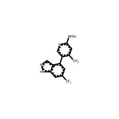 CC(=O)Nc1cc(C)c(-c2cc(C(F)(F)F)cc3[nH]ncc23)cn1